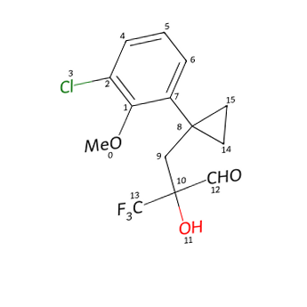 COc1c(Cl)cccc1C1(CC(O)(C=O)C(F)(F)F)CC1